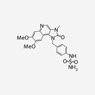 COc1cc2ncc3c(c2cc1OC)n(Cc1ccc(NS(N)(=O)=O)cc1)c(=O)n3C